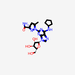 Cc1cc(C(N)=O)nn1-c1nc(NC2CCCC2)c2ncn([C@@H]3O[C@H](CO)[C@@H](O)[C@@H]3O)c2n1